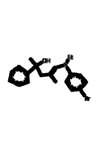 CCN(C=C(C)CC(C)(O)c1ccccc1)c1ccc(Br)cc1